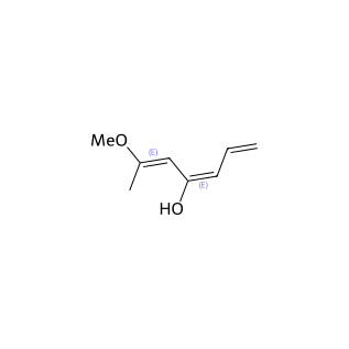 C=C/C=C(O)\C=C(/C)OC